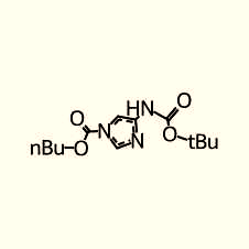 CCCCOC(=O)n1cnc(NC(=O)OC(C)(C)C)c1